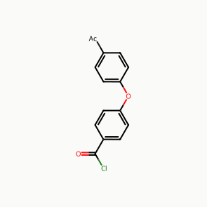 CC(=O)c1ccc(Oc2ccc(C(=O)Cl)cc2)cc1